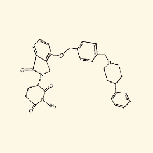 NN1C(=O)CCC(N2Cc3c(OCc4ccc(CN5CCC(c6ccccc6)CC5)cc4)cccc3C2=O)C1=O